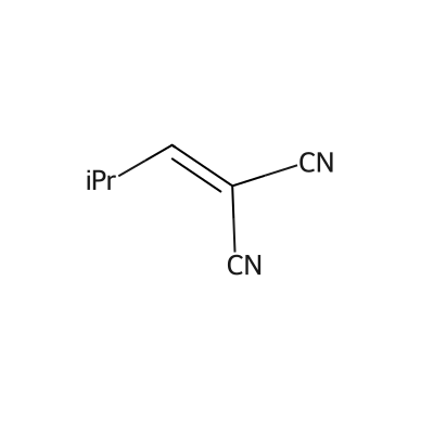 CC(C)C=C(C#N)C#N